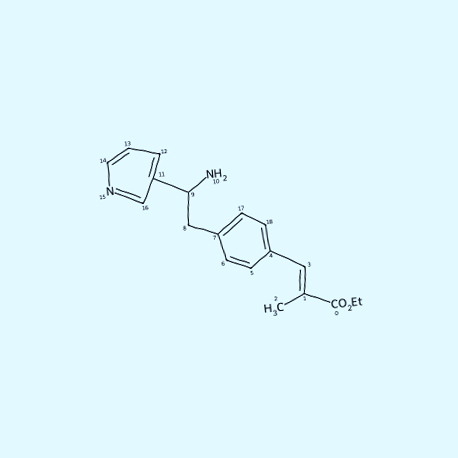 CCOC(=O)C(C)=Cc1ccc(CC(N)c2cccnc2)cc1